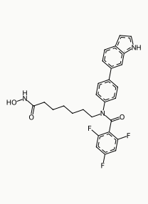 O=C(CCCCCCN(C(=O)c1c(F)cc(F)cc1F)c1ccc(-c2ccc3cc[nH]c3c2)cc1)NO